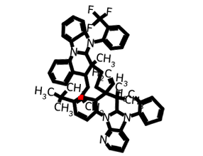 C=CCC1c2ccccc2N2c3ccccc3N(c3ccccc3C(F)(F)F)C2C1(C)CCC1(C=C)c2cc(C(C)(C)C)ccc2N2c3ncccc3N(c3ccccc3C)C2C1(C)C